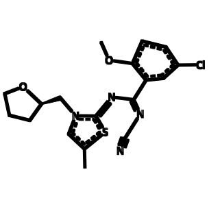 COc1ccc(Cl)cc1C(=N/C#N)/N=c1\sc(C)cn1C[C@H]1CCCO1